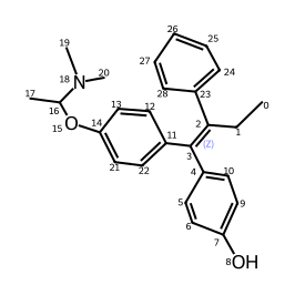 CC/C(=C(\c1ccc(O)cc1)c1ccc(OC(C)N(C)C)cc1)c1ccccc1